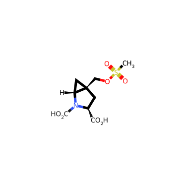 CS(=O)(=O)OC[C@@]12C[C@@H](C(=O)O)N(C(=O)O)[C@@H]1C2